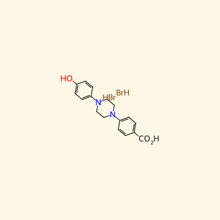 Br.Br.O=C(O)c1ccc(N2CCN(c3ccc(O)cc3)CC2)cc1